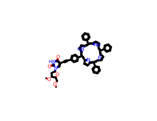 COCC1OC(n2cc(C#Cc3ccc(-c4c5nc(c(-c6ccccc6)c6nc(c(-c7ccccc7)c7ccc([nH]7)c(-c7ccccc7)c7ccc4[nH]7)C=C6)C=C5)cc3)c(=O)[nH]c2=O)C[C@H]1OC